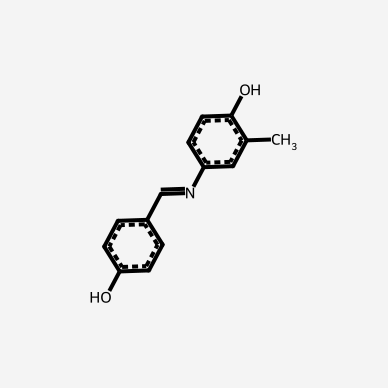 Cc1cc(N=Cc2ccc(O)cc2)ccc1O